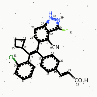 N#Cc1c(/C(=C(/c2ccccc2Cl)C2CCC2)c2ccc(/C=C/C(=O)O)cc2)ccc2[nH]nc(F)c12